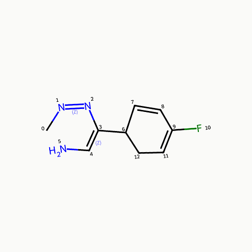 C/N=N\C(=C/N)C1C=CC(F)=CC1